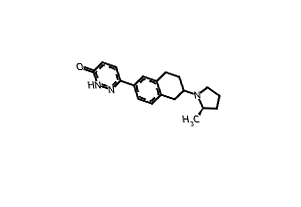 C[C@@H]1CCCN1C1CCc2cc(-c3ccc(=O)[nH]n3)ccc2C1